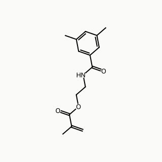 C=C(C)C(=O)OCCNC(=O)c1cc(C)cc(C)c1